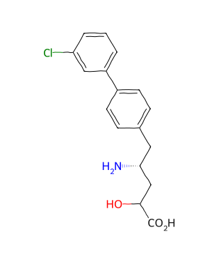 N[C@H](Cc1ccc(-c2cccc(Cl)c2)cc1)CC(O)C(=O)O